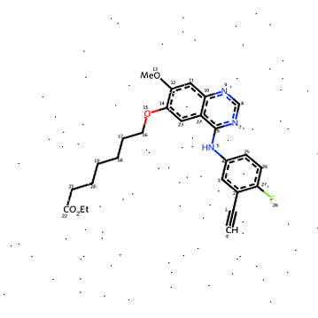 C#Cc1cc(Nc2ncnc3cc(OC)c(OCCCCCCC(=O)OCC)cc23)ccc1F